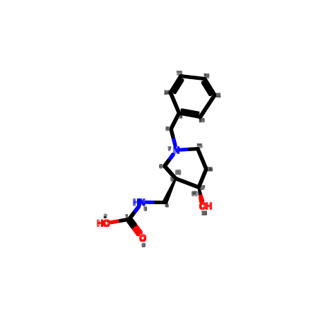 O=C(O)NC[C@H]1CN(Cc2ccccc2)CC[C@H]1O